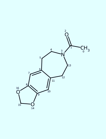 CC(=O)N1CCc2cc3c(cc2CC1)OCO3